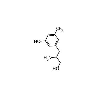 NC(CO)Cc1cc(O)cc(C(F)(F)F)c1